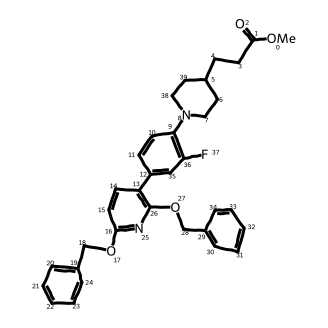 COC(=O)CCC1CCN(c2ccc(-c3ccc(OCc4ccccc4)nc3OCc3ccccc3)cc2F)CC1